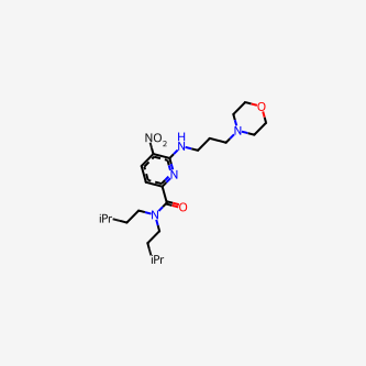 CC(C)CCN(CCC(C)C)C(=O)c1ccc([N+](=O)[O-])c(NCCCN2CCOCC2)n1